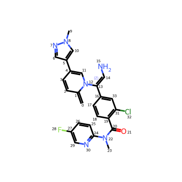 C=C1C=CC(c2cnn(C)c2)=CN1/C(=C\N)c1ccc(C(=O)N(C)c2ccc(F)cn2)c(Cl)c1